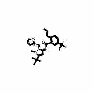 CC=Cc1ccc(C(F)(F)F)cc1C(=O)N=c1cc(C(C)(C)C)n(C)n1C[C@H]1CCCO1